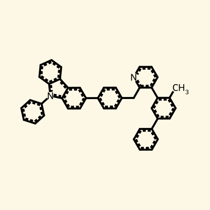 Cc1ccc(-c2ccccc2)cc1-c1cccnc1Cc1ccc(-c2ccc3c(c2)c2ccccc2n3-c2ccccc2)cc1